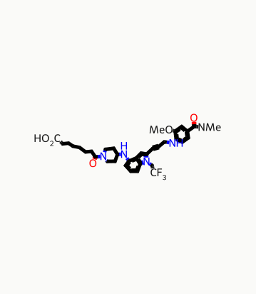 CNC(=O)c1ccc(NCC#Cc2cc3c(NC4CCN(C(=O)CCCCCCC(=O)O)CC4)cccc3n2CC(F)(F)F)c(OC)c1